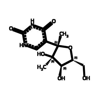 C[C@@]1(c2c[nH]c(=O)[nH]c2=O)O[C@H](CO)[C@@H](O)[C@@]1(C)O